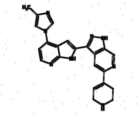 Cc1cn(-c2ccnc3[nH]c(-c4n[nH]c5cnc(C6=CCNCC6)cc45)cc23)cn1